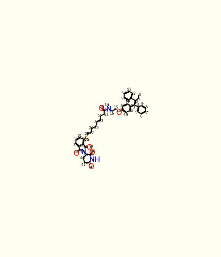 CCC(=C(c1ccccc1)c1ccc(OCCN(C)C(=O)CCCCCCCCSc2cccc3c2C(=O)N(C2CCC(=O)NC2=O)C3=O)cc1)c1ccccc1